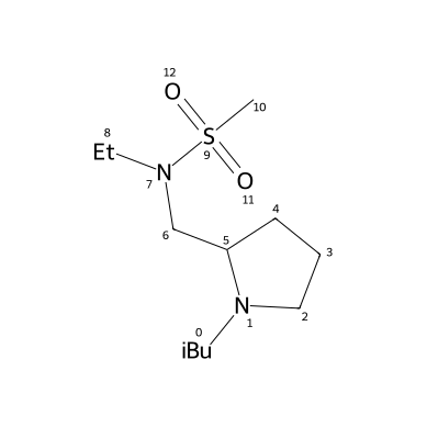 CCC(C)N1CCCC1CN(CC)S(C)(=O)=O